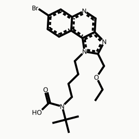 CCOCc1nc2cnc3cc(Br)ccc3c2n1CCCCN(C(=O)O)C(C)(C)C